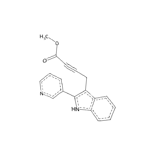 COC(=O)C#CCc1c(-c2cccnc2)[nH]c2ccccc12